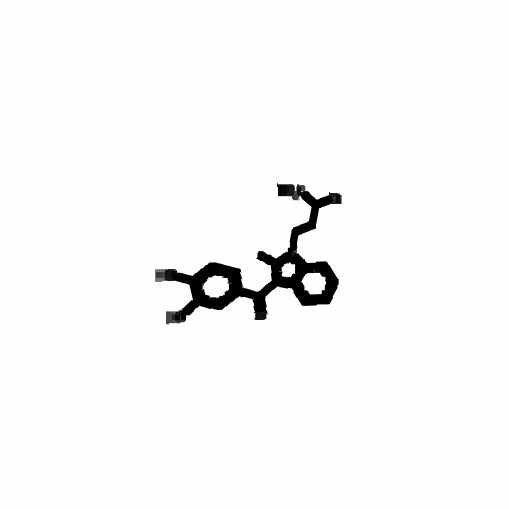 CCC(CCn1c(C)c(C(=O)c2ccc(O)c(O)c2)c2ccccc21)C(=O)O